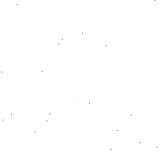 O=CC(=O)c1cccc(F)c1C(=O)C=O